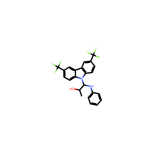 CC(O)C(Nc1ccccc1)n1c2ccc(C(F)(F)F)cc2c2cc(C(F)(F)F)ccc21